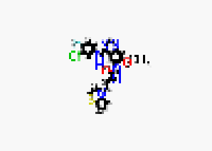 COc1cc2ncnc(Nc3ccc(F)c(Cl)c3)c2cc1NC(=O)C=CCN1CCSC2CCCC21